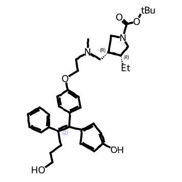 CC[C@H]1CN(C(=O)OC(C)(C)C)C[C@H]1CN(C)CCOc1ccc(/C(=C(/CCCO)c2ccccc2)c2ccc(O)cc2)cc1